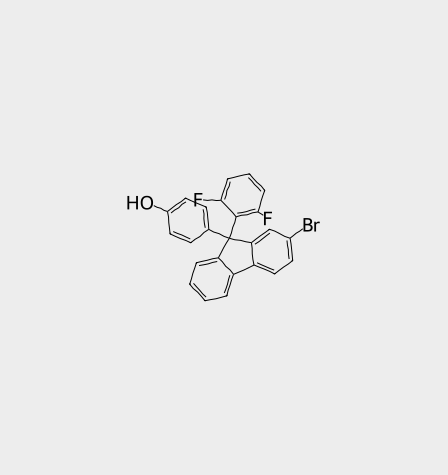 Oc1ccc(C2(c3c(F)cccc3F)c3ccccc3-c3ccc(Br)cc32)cc1